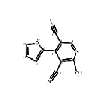 N#Cc1cnc(O)c(C#N)c1-c1ccco1